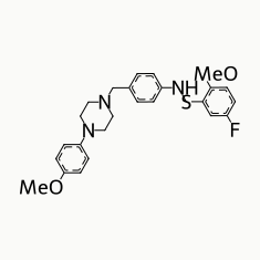 COc1ccc(N2CCN(Cc3ccc(NSc4cc(F)ccc4OC)cc3)CC2)cc1